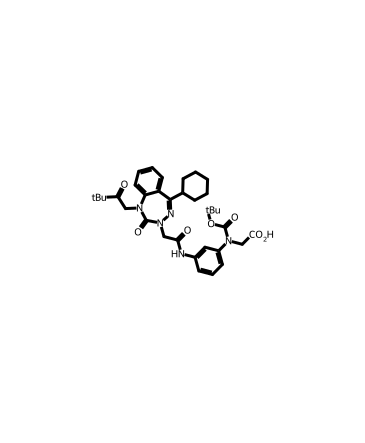 CC(C)(C)OC(=O)N(CC(=O)O)c1cccc(NC(=O)CN2N=C(C3CCCCC3)c3ccccc3N(CC(=O)C(C)(C)C)C2=O)c1